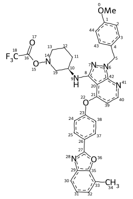 COc1ccc(Cn2nc(N[C@@H]3CCCN(OC(=O)C(F)(F)F)C3)c3c(Oc4ccc(-c5nc6cccc(C)c6o5)cc4)ccnc32)cc1